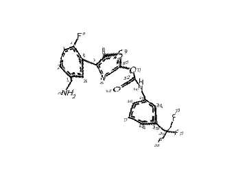 Nc1ccc(F)c(-c2csc(OC(=O)Nc3cccc(C(F)(F)F)c3)n2)c1